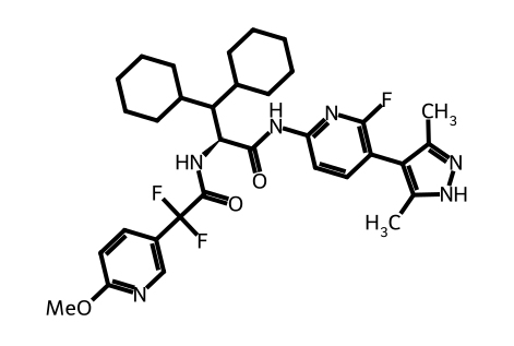 COc1ccc(C(F)(F)C(=O)N[C@H](C(=O)Nc2ccc(-c3c(C)n[nH]c3C)c(F)n2)C(C2CCCCC2)C2CCCCC2)cn1